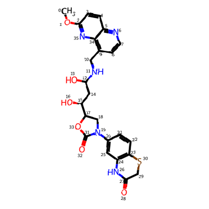 COc1ccc2nccc(CNC(O)C[C@H](O)C3CN(c4ccc5c(c4)NC(=O)CS5)C(=O)O3)c2n1